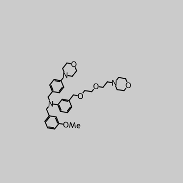 COc1cccc(CN(Cc2ccc(N3CCOCC3)cc2)c2cccc(COCCOCCN3CCOCC3)c2)c1